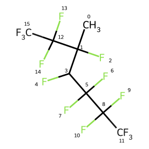 CC(F)(C(F)C(F)(F)C(F)(F)C(F)(F)F)C(F)(F)C(F)(F)F